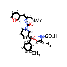 CNCC(CC1CCCOC1)NC(=O)N1CCC[C@@H]([C@@H](OCC(C)NC(=O)O)c2cccc(C)c2)C1